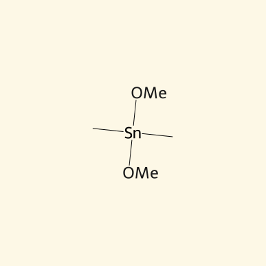 C[O][Sn]([CH3])([CH3])[O]C